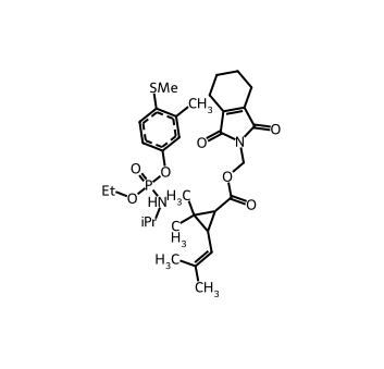 CC(C)=CC1C(C(=O)OCN2C(=O)C3=C(CCCC3)C2=O)C1(C)C.CCOP(=O)(NC(C)C)Oc1ccc(SC)c(C)c1